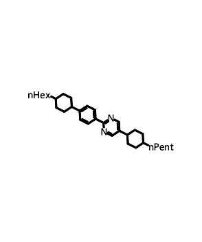 CCCCCCC1CCC(c2ccc(-c3ncc(C4CCC(CCCCC)CC4)cn3)cc2)CC1